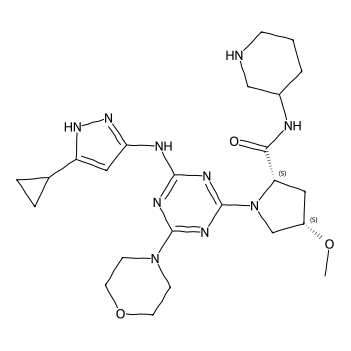 CO[C@H]1C[C@@H](C(=O)NC2CCCNC2)N(c2nc(Nc3cc(C4CC4)[nH]n3)nc(N3CCOCC3)n2)C1